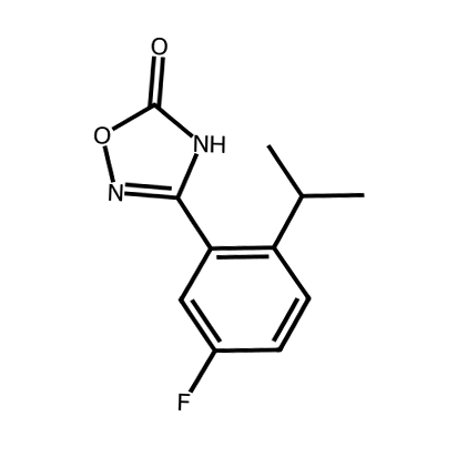 CC(C)c1ccc(F)cc1-c1noc(=O)[nH]1